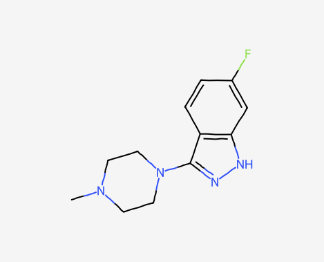 CN1CCN(c2n[nH]c3cc(F)ccc23)CC1